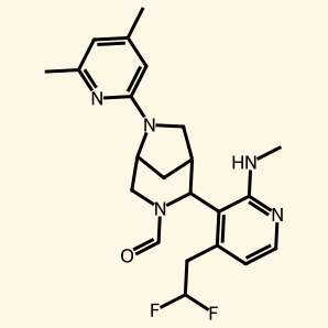 CNc1nccc(CC(F)F)c1C1C2CC(CN1C=O)N(c1cc(C)cc(C)n1)C2